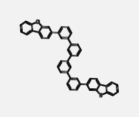 c1cc(-c2cccc(-c3cccc(-c4ccc5c(c4)sc4ccccc45)c3)c2)cc(-c2cccc(-c3ccc4c(c3)oc3ccccc34)c2)c1